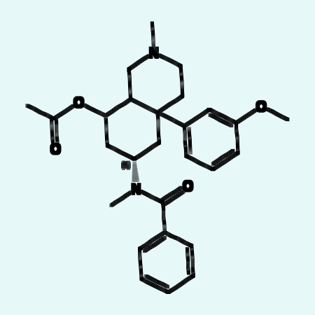 COc1cccc(C23CCN(C)CC2C(OC(C)=O)C[C@@H](N(C)C(=O)c2ccccc2)C3)c1